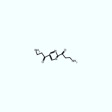 NCCC(=O)c1cnc(C(=O)CCN)nc1